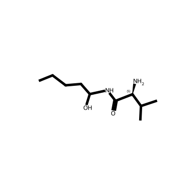 CCCCC(O)NC(=O)[C@@H](N)C(C)C